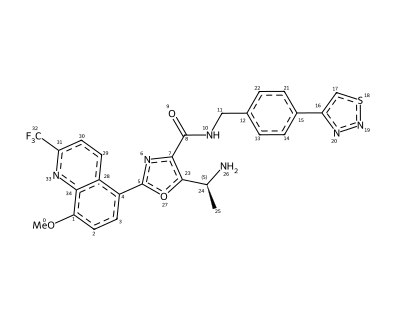 COc1ccc(-c2nc(C(=O)NCc3ccc(-c4csnn4)cc3)c([C@H](C)N)o2)c2ccc(C(F)(F)F)nc12